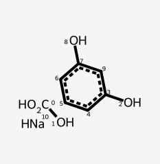 O=C(O)O.Oc1cccc(O)c1.[NaH]